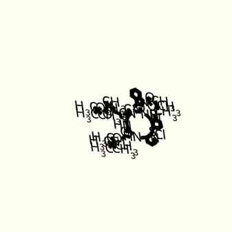 CN(CCCC[C@@H]1NC(=O)[C@H](CCCO[Si](C)(C)C(C)(C)C)NCc2cccnc2Sc2c(Cl)ccc(Br)c2CNC(=O)[C@H](Cc2cn(C(=O)OC(C)(C)C)c3ccccc23)N(C)C1=O)C(=O)OC(C)(C)C